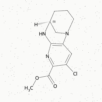 COC(=O)c1nc2c(cc1Cl)N1CCC[C@@H](C1)N2